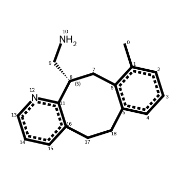 Cc1cccc2c1C[C@@H](CN)c1ncccc1CC2